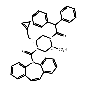 O=C(O)[C@H]1CN(C(=O)N2c3ccccc3C=Cc3ccccc32)[C@H](CC2=CC2)CN1C(=O)C(c1ccccc1)c1ccccc1